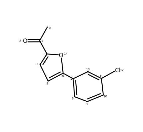 CC(=O)c1ccc(-c2cccc(Cl)c2)o1